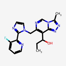 CCC(O)c1c(Cn2ccnc2-c2ncccc2F)ncn2c(C)nnc12